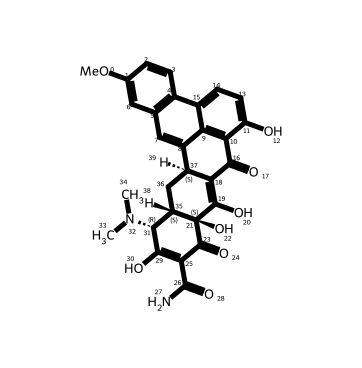 COc1ccc2c(c1)cc1c3c(c(O)ccc32)C(=O)C2=C(O)[C@]3(O)C(=O)C(C(N)=O)=C(O)[C@H](N(C)C)[C@@H]3C[C@H]21